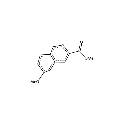 COC(=O)c1cc2cc(OC)ccc2cn1